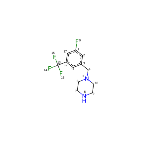 Fc1cc(CN2CCNCC2)cc(C(F)(F)F)c1